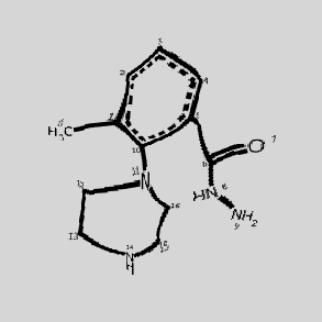 Cc1cccc(C(=O)NN)c1N1CCNCC1